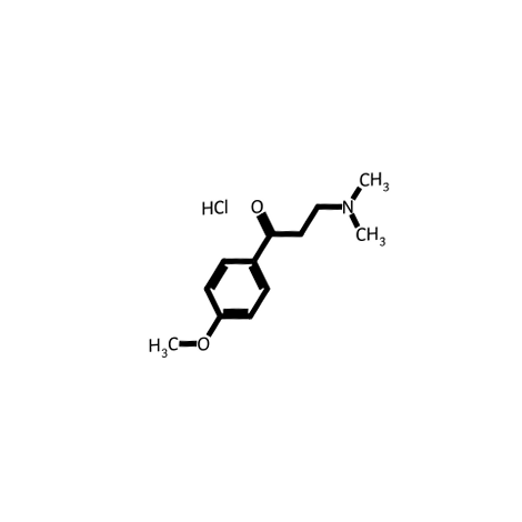 COc1ccc(C(=O)CCN(C)C)cc1.Cl